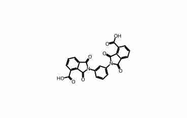 O=C(O)c1cccc2c1C(=O)N(c1cccc(N3C(=O)c4cccc(C(=O)O)c4C3=O)c1)C2=O